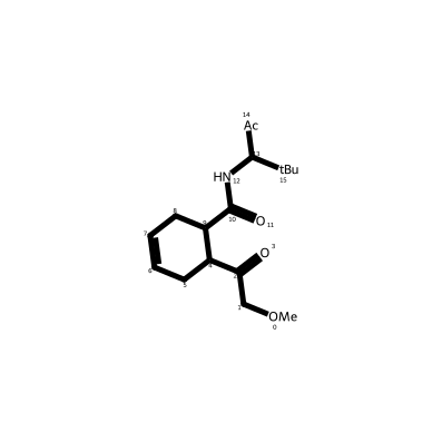 COCC(=O)C1CC=CCC1C(=O)NC(C(C)=O)C(C)(C)C